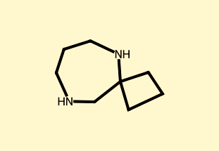 C1CNCC2(CCC2)NC1